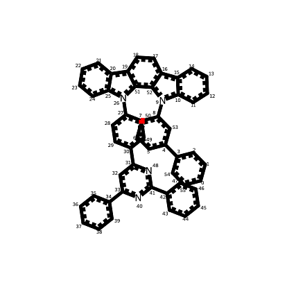 c1ccc(-c2cccc(-n3c4ccccc4c4ccc5c6ccccc6n(-c6ccc(-c7cc(-c8ccccc8)nc(-c8ccccc8)n7)cc6)c5c43)c2)cc1